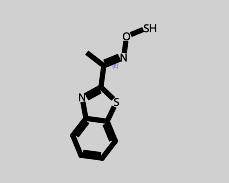 C/C(=N\OS)c1nc2ccccc2s1